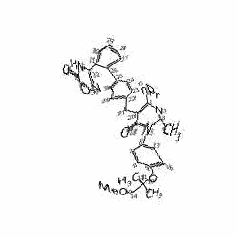 CCCc1nc(C)n(-c2ccc(OC(C)(C)COC)cc2)c(=O)c1Cc1ccc(-c2ccccc2-c2noc(=O)[nH]2)cc1